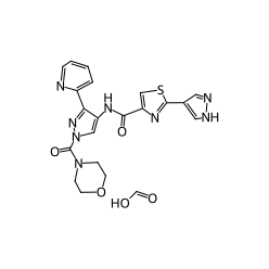 O=C(Nc1cn(C(=O)N2CCOCC2)nc1-c1ccccn1)c1csc(-c2cn[nH]c2)n1.O=CO